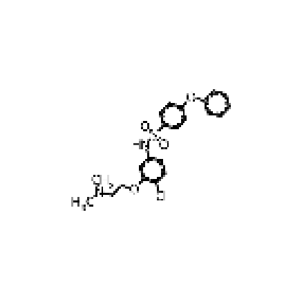 CN(C)CCOc1cc(NS(=O)(=O)c2ccc(Oc3ccccc3)cc2)ccc1Cl